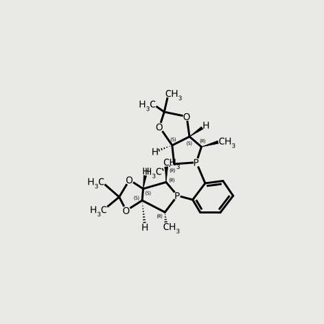 C[C@@H]1[C@H]2OC(C)(C)O[C@@H]2[C@@H](C)P1c1ccccc1P1[C@H](C)[C@H]2OC(C)(C)O[C@@H]2[C@H]1C